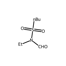 CCCCS(=O)(=O)N(C=O)CC